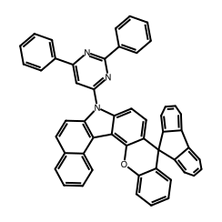 c1ccc(-c2cc(-n3c4ccc5c(c4c4c6ccccc6ccc43)Oc3ccccc3C53c4ccccc4-c4ccccc43)nc(-c3ccccc3)n2)cc1